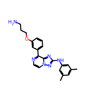 Cc1cc(C)cc(Nc2nc3c(-c4cccc(OCCCN)c4)nccn3n2)c1